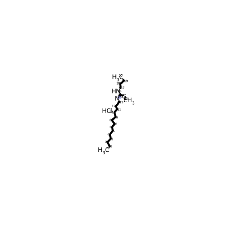 CCCCCCCCCCCCCC/N=C(/NCCCC)SC.Cl